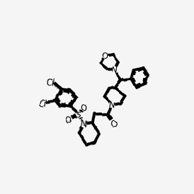 O=C(CC1CCCCN1S(=O)(=O)c1ccc(Cl)c(Cl)c1)N1CCC(C(c2ccccc2)N2CCOCC2)CC1